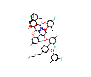 CCCCCc1ccc(-c2c(F)cc(C)cc2Oc2ccnc(Sc3ccc(Cl)cc3)c2-c2c(F)cc(C)cc2Oc2[c]c(OC)c(Oc3cc(C)cc(F)c3)c(-c3c(C)cccc3C)c2OC)c(Oc2cc(C)cc(F)c2)c1